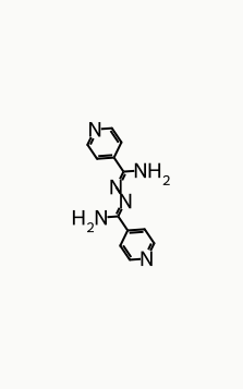 N/C(=N\N=C(/N)c1ccncc1)c1ccncc1